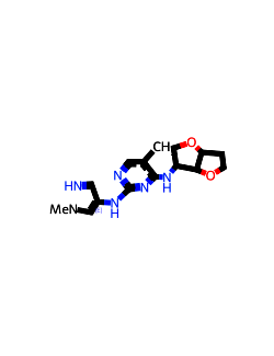 CN/C=C(\C=N)Nc1ncc(C)c(NC2COC3CCOC23)n1